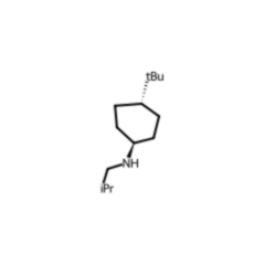 CC(C)CN[C@H]1CC[C@H](C(C)(C)C)CC1